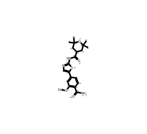 CCOc1cc(-c2cnc(NC(=O)C3CC(C)(C)OC(C)(C)C3)s2)ccc1C(N)=O